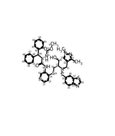 COC(=O)N[C@H](C(=O)Nc1cnccc1SC[C@@H](CO)N(Cc1cn(C)nc1C)Sc1ccc2ncsc2c1)C(c1ccccc1)c1ccccc1